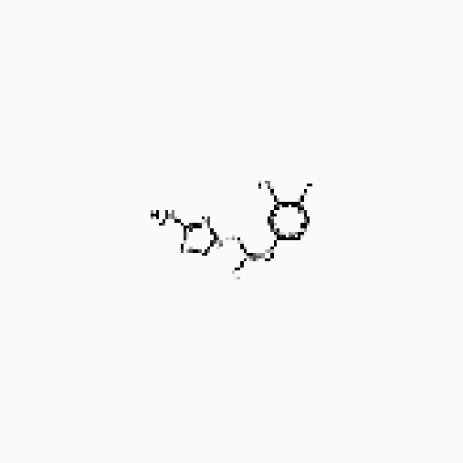 C[C@@H](C[C@@H]1COC(N)=N1)Oc1ccc(F)c(Cl)c1